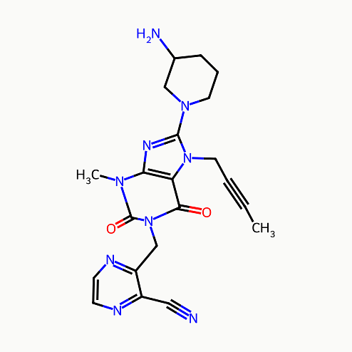 CC#CCn1c(N2CCCC(N)C2)nc2c1c(=O)n(Cc1nccnc1C#N)c(=O)n2C